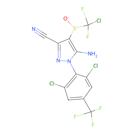 N#Cc1nn(-c2c(Cl)cc(C(F)(F)F)cc2Cl)c(N)c1[S+]([O-])C(F)(F)Cl